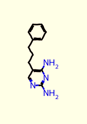 Nc1ncc(CCCc2ccccc2)c(N)n1